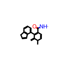 C=C1C(c2cccc3c2C=CC3)=C(C([NH])=O)C=CC1C